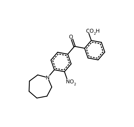 O=C(O)c1ccccc1C(=O)c1ccc(N2CCCCCC2)c([N+](=O)[O-])c1